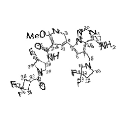 COc1ncc(-c2cc(CN3CCC(F)(F)C3)c3c(N)ncnn23)cc1C(=O)N[C@@H]1CN(C(=O)C2CC(F)(F)C2)C[C@@H]1F